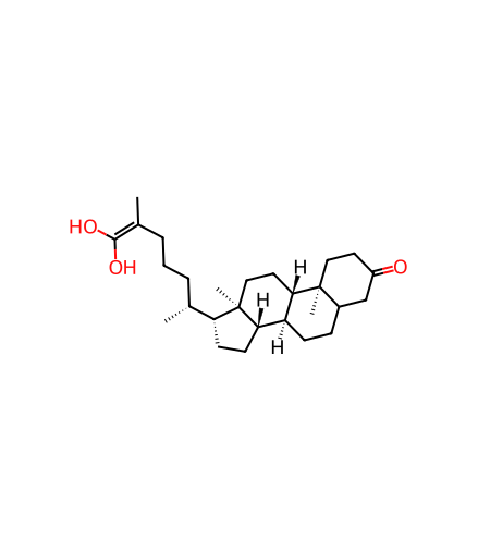 CC(CCC[C@@H](C)[C@H]1CC[C@H]2[C@@H]3CCC4CC(=O)CC[C@]4(C)[C@H]3CC[C@]12C)=C(O)O